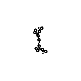 C(=C\c1ccc(N(c2ccc3c(c2)sc2ccccc23)c2cccc3ccccc23)cc1)/c1ccc(-c2ccc(N(c3ccc4c(c3)sc3ccccc34)c3cccc4ccccc34)cc2)cc1